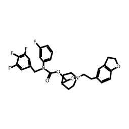 O=C(OC1C[N+]2(CCc3ccc4c(c3)CCO4)CCC1CC2)N(Cc1cc(F)c(F)c(F)c1)c1cccc(F)c1